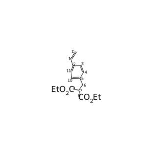 C=Cc1ccc(CC(C(=O)OCC)C(=O)OCC)cc1